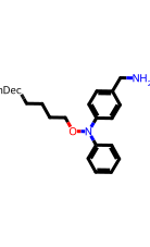 CCCCCCCCCCCCCCON(c1ccccc1)c1ccc(CN)cc1